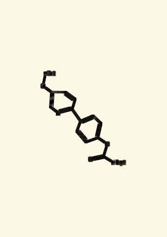 CCCCCCCCOc1ccc(-c2ccc(OC(=O)CCCCCCC)cc2)nc1